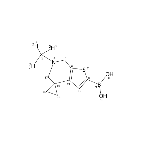 [2H]C([2H])([2H])N1Cc2sc(B(O)O)cc2C2(CC2)C1